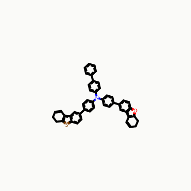 C1=Cc2c(oc3ccc(-c4ccc(N(c5ccc(-c6ccccc6)cc5)c5ccc(-c6ccc7sc8c(c7c6)C=CCC8)cc5)cc4)cc23)CC1